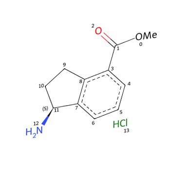 COC(=O)c1cccc2c1CC[C@@H]2N.Cl